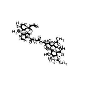 CCC(NC(C)=O)C(OC1OC(C(=O)O)C(OC(C)C)C(O)C1O)C(O)C(COC(=O)CNC(=O)n1ccc2c(N(C)[C@H]3CN(C(=O)CC#N)CC[C@H]3C)ncnc21)OC